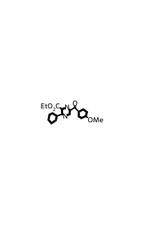 CCOC(=O)c1nc(C(=O)c2ccc(OC)cc2)cnc1-c1ccccc1